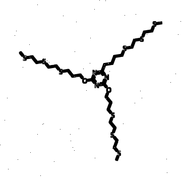 CSCCSCCSCCCCc1nc(OCCCSCCSCCSC)nc(OCCCSCCSCCSC)n1